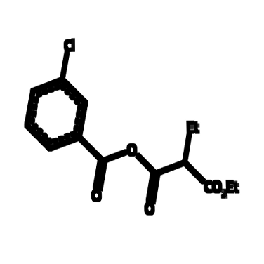 CCOC(=O)C(CC)C(=O)OC(=O)c1cccc(Cl)c1